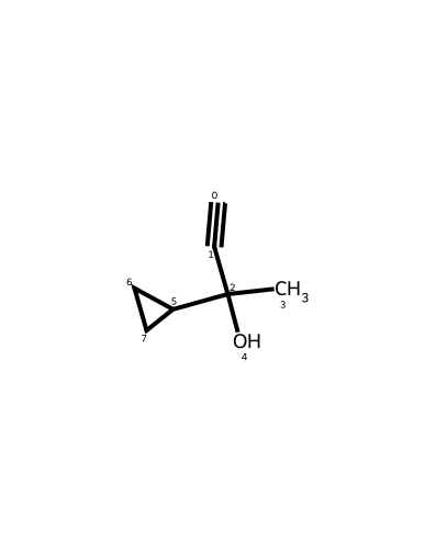 [C]#CC(C)(O)C1CC1